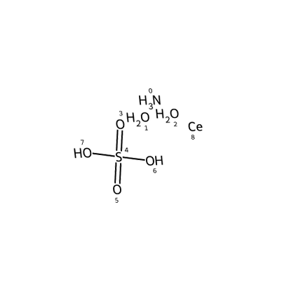 N.O.O.O=S(=O)(O)O.[Ce]